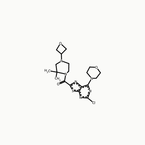 CC1(C)CN(C2COC2)CCN1C(=O)c1nc2c(N3CCOCC3)nc(Cl)nc2s1